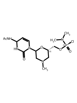 CC(=O)NC1C=CN(C2CN(C)C[C@@H](CO[P@](=O)(Cl)N(C)C)O2)C(=O)N1